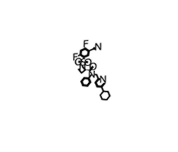 N#Cc1cc(S(=O)(=O)N2CC[C@@H]2C(=O)N(Cc2ccc(C3CCCCC3)cn2)c2ccccc2)c(F)cc1F